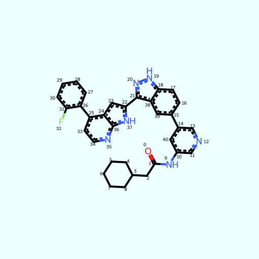 O=C(CC1CCCCC1)Nc1cncc(-c2ccc3[nH]nc(-c4cc5c(-c6ccccc6F)ccnc5[nH]4)c3c2)c1